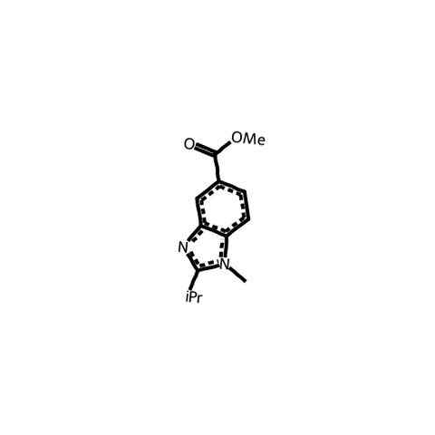 COC(=O)c1ccc2c(c1)nc(C(C)C)n2C